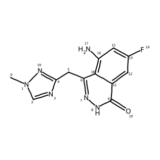 Cn1cnc(Cc2n[nH]c(=O)c3cc(F)cc(N)c23)n1